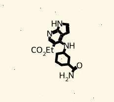 CCOC(=O)c1cnc2[nH]ccc2c1NC1CCCC(C(N)=O)C1